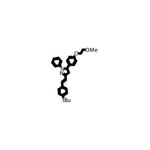 COCCOc1ccc(C2CC(/C=C/c3ccc(C(C)(C)C)cc3)=NN2c2ccccc2)cc1